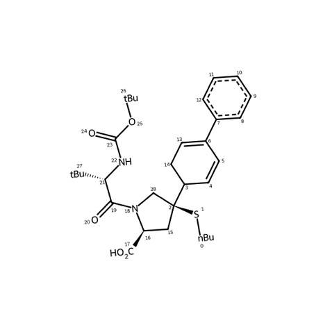 CCCCS[C@@]1(C2C=CC(c3ccccc3)=CC2)C[C@@H](C(=O)O)N(C(=O)[C@@H](NC(=O)OC(C)(C)C)C(C)(C)C)C1